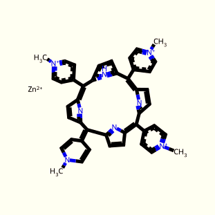 CN1C=CC(=C2C3=NC(=C(c4cc[n+](C)cc4)C4=NC(=C(c5cc[n+](C)cc5)c5ccc([nH]5)C(c5cc[n+](C)cc5)=C5C=CC2=N5)C=C4)C=C3)C=C1.[Zn+2]